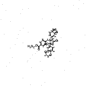 CCOC(=O)c1ccc(CC2=C(c3ccc4nsnc4c3)C(=O)OC2(O)c2ccc3c(c2)OCCO3)cc1